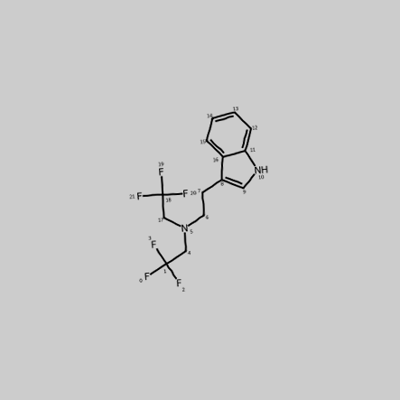 FC(F)(F)CN(CCc1c[nH]c2ccccc12)CC(F)(F)F